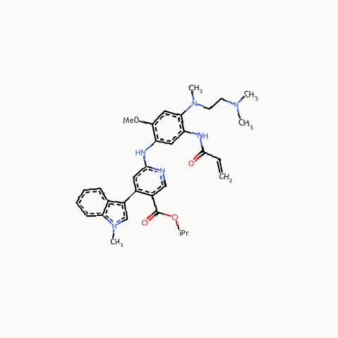 C=CC(=O)Nc1cc(Nc2cc(-c3cn(C)c4ccccc34)c(C(=O)OC(C)C)cn2)c(OC)cc1N(C)CCN(C)C